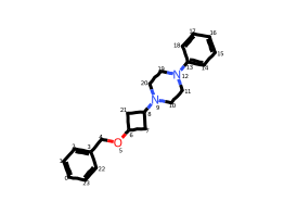 c1ccc(COC2CC(N3CCN(c4ccccc4)CC3)C2)cc1